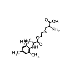 Cc1cc(C)c(N[C@@H](C)C(=O)OCCSCC(N)C(=O)O)c(C)c1